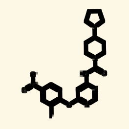 O=C(Nc1cc(Oc2ccc([N+](=O)[O-])cc2F)ncn1)N1CCC(N2CCCC2)CC1